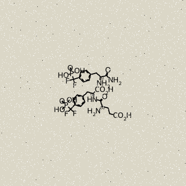 NC(=O)[C@@H](N)Cc1ccc(C(F)(F)P(=O)(O)O)cc1.N[C@@H](CCC(=O)O)C(=O)N[C@@H](Cc1ccc(C(F)(F)P(=O)(O)O)cc1)C(=O)O